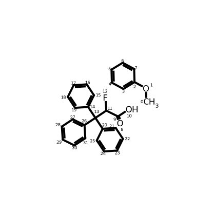 COc1ccccc1.O=C(O)C(F)C(c1ccccc1)(c1ccccc1)c1ccccc1